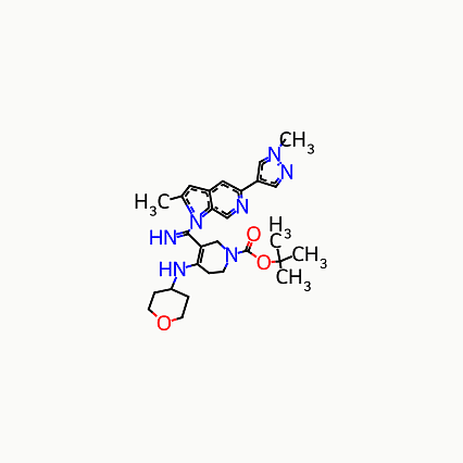 Cc1cc2cc(-c3cnn(C)c3)ncc2n1C(=N)C1=C(NC2CCOCC2)CCN(C(=O)OC(C)(C)C)C1